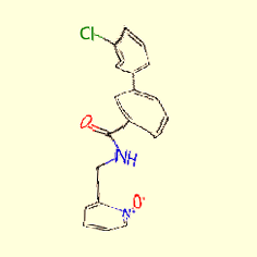 O=C(NCc1cccc[n+]1[O-])c1cccc(-c2cccc(Cl)c2)c1